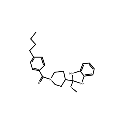 CCCCc1ccc(C(=O)N2CCC(C3(SC)Nc4ccccc4N3)CC2)cc1